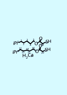 CC(C)CCCCCOC(=O)CS.CC(C)CCCCCOC(=O)CS.[CaH2]